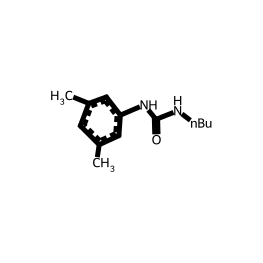 CCCCNC(=O)Nc1cc(C)cc(C)c1